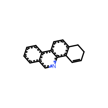 C1=Cc2c(ccc3c2ncc2ccccc23)CC1